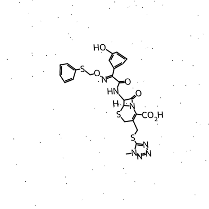 Cn1nnnc1SCC1=C(C(=O)O)N2C(=O)C(NC(=O)C(=NOCSc3ccccc3)c3cccc(O)c3)[C@@H]2SC1